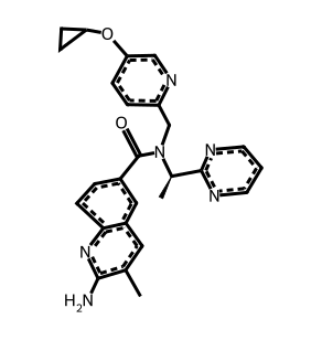 Cc1cc2cc(C(=O)N(Cc3ccc(OC4CC4)cn3)[C@H](C)c3ncccn3)ccc2nc1N